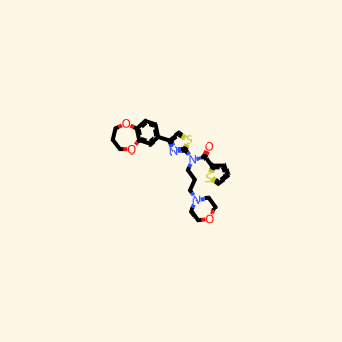 O=C(c1cccs1)N(CCCN1CCOCC1)c1nc(-c2ccc3c(c2)OCCCO3)cs1